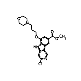 COC(=O)c1cc(OCCCN2CCOCC2)c2[nH]c3cc(Cl)ncc3c2c1